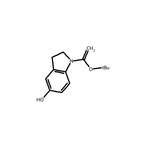 C=C(OC(C)(C)C)N1CCc2cc(O)ccc21